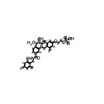 C[C@H]1c2ccc(C(=O)NCc3c(F)cc(F)cc3F)cc2N(Cc2c(F)cc(OCCOS(=O)(=O)O)cc2F)C(=O)N1C